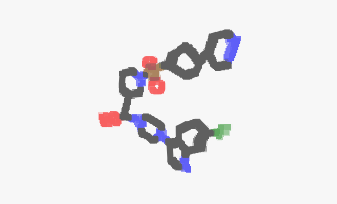 O=S(=O)(c1ccc(-c2ccncc2)cc1)N1CCCC(C(O)N2CCN(c3ccnc4cc(F)ccc34)CC2)C1